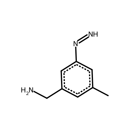 Cc1cc(CN)cc(N=N)c1